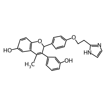 CC1=C(c2cccc(O)c2)C(c2ccc(OCCc3ncc[nH]3)cc2)Oc2ccc(O)cc21